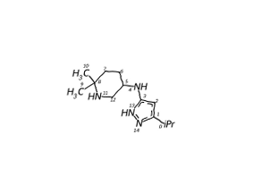 CC(C)c1cc(NC2CCC(C)(C)NC2)[nH]n1